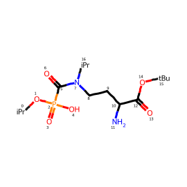 CC(C)OP(=O)(O)C(=O)N(CCC(N)C(=O)OC(C)(C)C)C(C)C